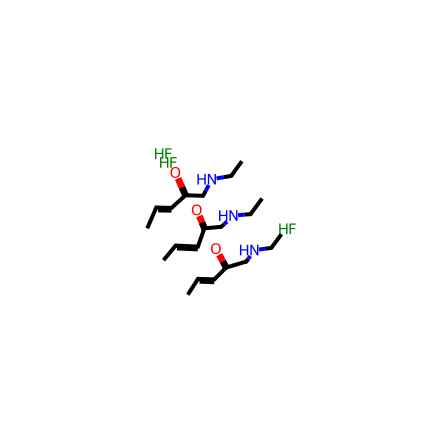 C/C=C/C(=O)CNCC.C/C=C/C(=O)CNCC.C/C=C/C(=O)CNCC.F.F.F